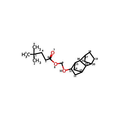 CC(C)(C)CCC(=O)OCOC1CC2CC1C1C3CCC(C3)C21